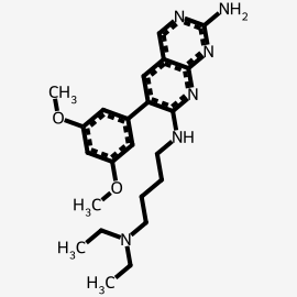 CCN(CC)CCCCNc1nc2nc(N)ncc2cc1-c1cc(OC)cc(OC)c1